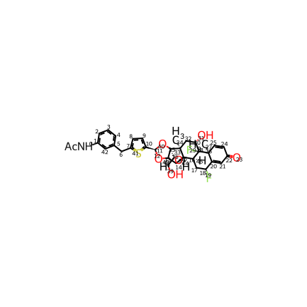 CC(=O)Nc1cccc(Cc2ccc([C@@H]3O[C@@H]4C[C@H]5[C@@H]6C[C@H](F)C7=CC(=O)C=C[C@]7(C)[C@@]6(F)[C@@H](O)C[C@]5(C)[C@]4(C(=O)CO)O3)s2)c1